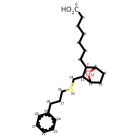 O=C(O)CCCCCCC1C2CCC(O2)C1CSCCCc1ccccc1